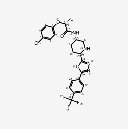 C[C@@H](Oc1ccc(Cl)cc1)C(=O)N[C@H]1CC[C@H](c2nnc(-c3ccc(C(F)(F)F)cc3)o2)NC1